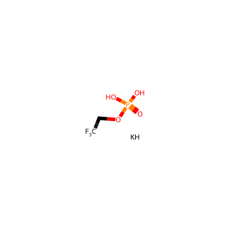 O=P(O)(O)OCC(F)(F)F.[KH]